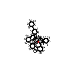 c1ccc(C2=NC(c3ccc(-c4ccccc4)cc3)=NC(c3cccc4oc5cccc(-c6cccc7c6oc6c8ccccc8ccc76)c5c34)N2)cc1